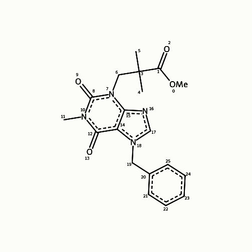 COC(=O)C(C)(C)Cn1c(=O)n(C)c(=O)c2c1ncn2Cc1ccccc1